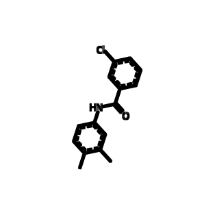 Cc1ccc(NC(=O)c2cccc(Cl)c2)cc1C